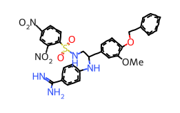 COc1cc(C(CNS(=O)(=O)c2ccc([N+](=O)[O-])cc2[N+](=O)[O-])Nc2ccc(C(=N)N)cc2)ccc1OCc1ccccc1